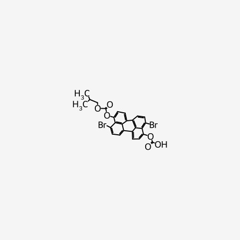 CC(C)COC(=O)Oc1ccc2c3ccc(Br)c4c(OC(=O)O)ccc(c5ccc(Br)c1c52)c43